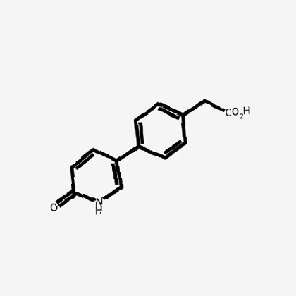 O=C(O)Cc1ccc(-c2ccc(=O)[nH]c2)cc1